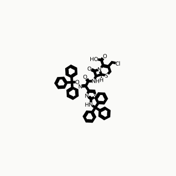 O=C(O)C1=C(CCl)CS[C@H]2C(NC(=O)/C(=N\OC(c3ccccc3)(c3ccccc3)c3ccccc3)c3csc(NC(c4ccccc4)(c4ccccc4)c4ccccc4)n3)C(=O)N12